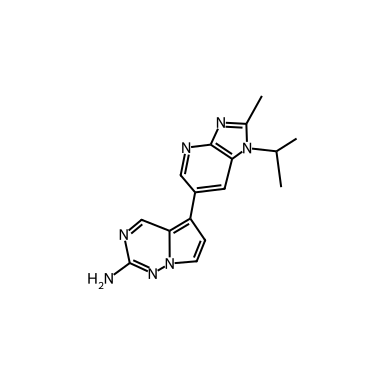 Cc1nc2ncc(-c3ccn4nc(N)ncc34)cc2n1C(C)C